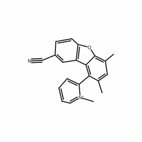 Cc1cc(C)c2oc3ccc(C#N)cc3c2c1-c1cccc[n+]1C